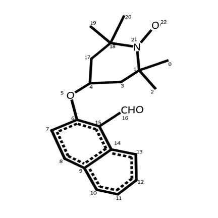 CC1(C)CC(Oc2ccc3ccccc3c2C=O)CC(C)(C)N1[O]